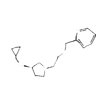 C[C@@H](OCCN1CC[C@@H](OC2CC2)C1)c1ccccn1